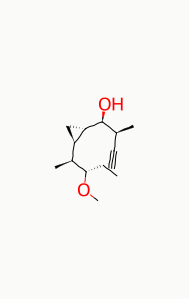 C#C[C@H](C)[C@H](O)[C@H]1C[C@@H]1[C@H](C)[C@H](CC)OC